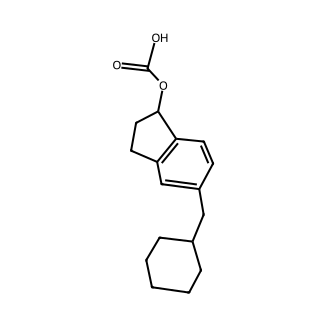 O=C(O)OC1CCc2cc(CC3CCCCC3)ccc21